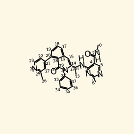 CNC(=O)c1cnc(C)nc1N[C@@H](C)c1cc2cccc(-c3ccnc(C)c3)c2c(=O)n1-c1ccccc1